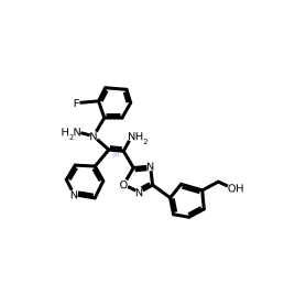 N/C(=C(/c1ccncc1)N(N)c1ccccc1F)c1nc(-c2cccc(CO)c2)no1